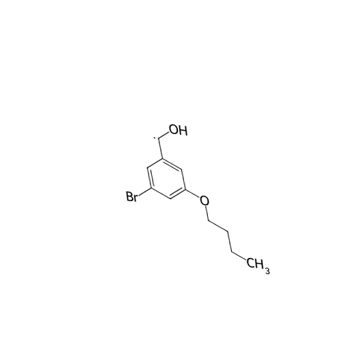 CCCCOc1cc(Br)cc([CH]O)c1